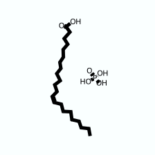 CCCCCCCC/C=C\CCCCCCCCCCCC(=O)O.O=P(O)(O)O